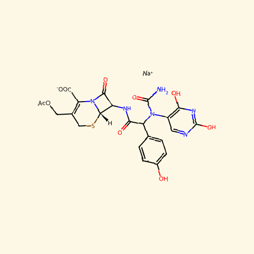 CC(=O)OCC1=C(C(=O)[O-])N2C(=O)C(NC(=O)C(c3ccc(O)cc3)N(C(N)=O)c3cnc(O)nc3O)[C@@H]2SC1.[Na+]